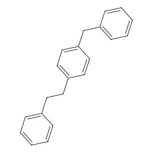 c1ccc(CCc2ccc(Cc3ccccc3)cc2)cc1